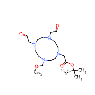 COCN1CCN(CC=O)CCN(CC=O)CCN(CC(=O)OC(C)(C)C)CC1